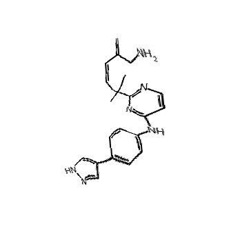 C=C(/C=C\C(C)(C)c1nccc(Nc2ccc(-c3cn[nH]c3)cc2)n1)CN